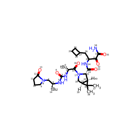 CC(C)(C)[C@H](NC(=O)N[C@H](CN1CCCC1=O)C(C)(C)C)C(=O)N1C[C@H]2[C@@H]([C@H]1C(=O)NC(CC1CCC1)C(=O)C(N)=O)C2(C)C